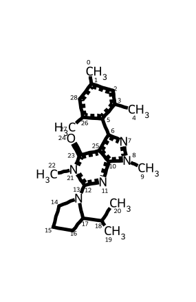 Cc1cc(C)c(-c2nn(C)c3nc(N4CCCC4C(C)C)n(C)c(=O)c23)c(C)c1